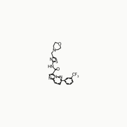 O=C(Nc1nc(CN2CCOCC2)cs1)c1cnc2ccc(-c3cccc(C(F)(F)F)c3)nn12